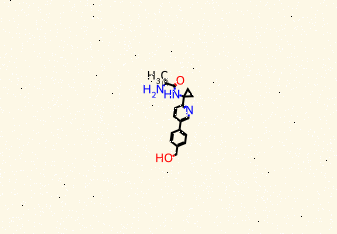 C[C@H](N)C(=O)NC1(c2ccc(-c3ccc(CO)cc3)cn2)CC1